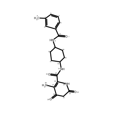 Cc1cccc(C(=O)NC2CCC(NC(=O)C3=C(N)C(=O)CC(=O)N3)CC2)c1